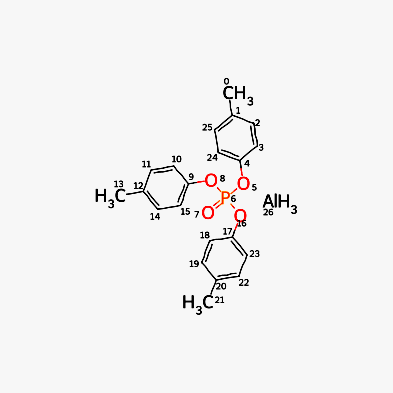 Cc1ccc(OP(=O)(Oc2ccc(C)cc2)Oc2ccc(C)cc2)cc1.[AlH3]